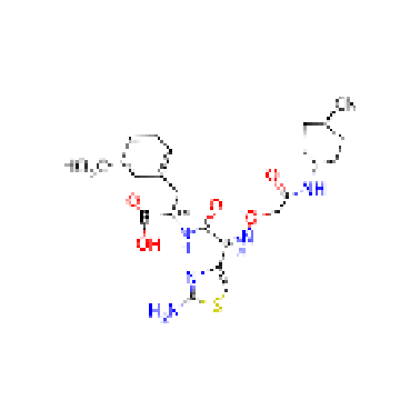 N#C[C@H]1CC[C@H](NC(=O)CO/N=C(\C(=O)N[C@H]2Cc3cccc(C(=O)O)c3OB2O)c2csc(N)n2)CC1